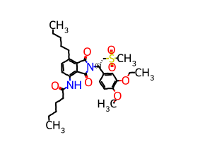 CCCCCC(=O)Nc1ccc(CCCCC)c2c1C(=O)N([C@H](CS(C)(=O)=O)c1ccc(OC)c(OCC)c1)C2=O